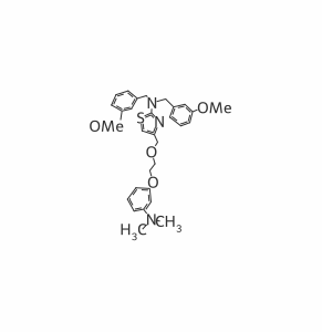 COc1cccc(CN(Cc2cccc(OC)c2)c2nc(COCCOc3cccc(N(C)C)c3)cs2)c1